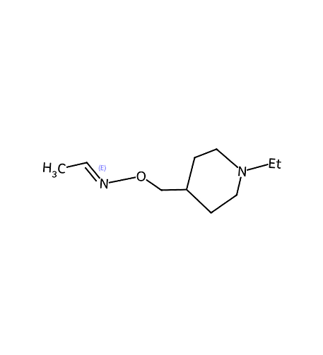 C/C=N/OCC1CCN(CC)CC1